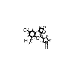 Cc1cc(Cl)ccc1O[C@@H](c1ccco1)[C@H]1CCNC1